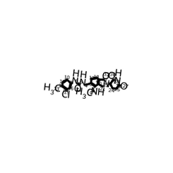 CNc1c(CNC(=O)Nc2ccc(C)c(Cl)c2)ccc2c1CN(C1CCC(=O)NC1=O)C2=O